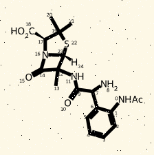 CC(=O)Nc1ccccc1C(N)C(=O)NC1(C)C(=O)N2[C@@H](C(=O)O)C(C)(C)S[C@@H]21